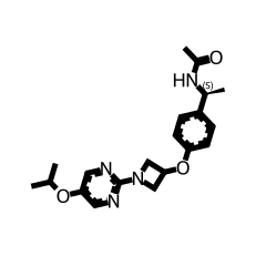 CC(=O)N[C@@H](C)c1ccc(OC2CN(c3ncc(OC(C)C)cn3)C2)cc1